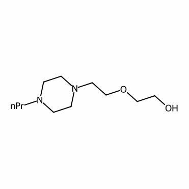 CCCN1CCN(CCOCCO)CC1